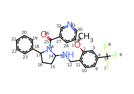 COc1cc(C(F)(F)F)ccc1CNC1CCC(c2ccccc2)N1C(=O)c1cccnc1